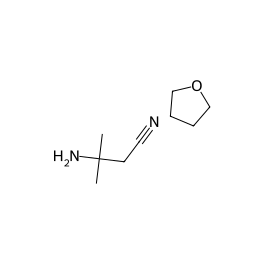 C1CCOC1.CC(C)(N)CC#N